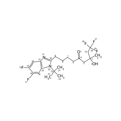 CC(O)(CC(=O)CCCCc1nc2cc(F)c(F)cc2n1C(C)(C)C)CC(F)(F)F